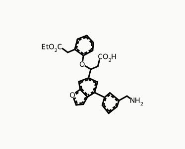 CCOC(=O)Cc1ccccc1OC(CC(=O)O)c1cc(-c2cccc(CN)c2)c2ccoc2c1